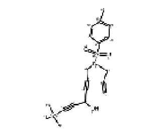 C#CCN(CC#CC(O)C#C[Si](C)(C)C)S(=O)(=O)c1ccc(C)cc1